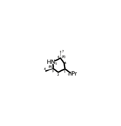 CC(C)C1C[C@@H](C)N[C@H](C)C1